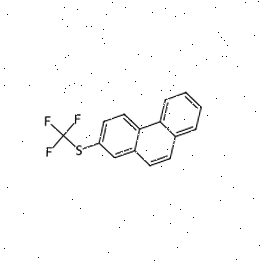 FC(F)(F)Sc1ccc2c(ccc3ccccc32)c1